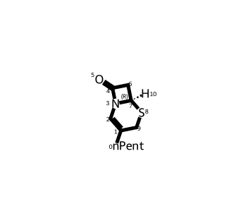 CCCCCC1=CN2C(=O)C[C@H]2SC1